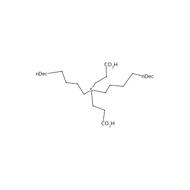 CCCCCCCCCCCCCCS(CCCCCCCCCCCCCC)(CCC(=O)O)CCC(=O)O